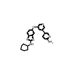 Nc1ccc(-c2cncc(Oc3ccc4nc(NC5CCCCC5)sc4c3)c2)cn1